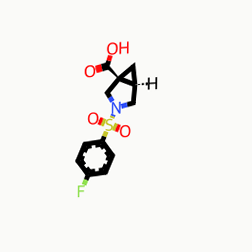 O=C(O)[C@@]12C[C@H]1CN(S(=O)(=O)c1ccc(F)cc1)C2